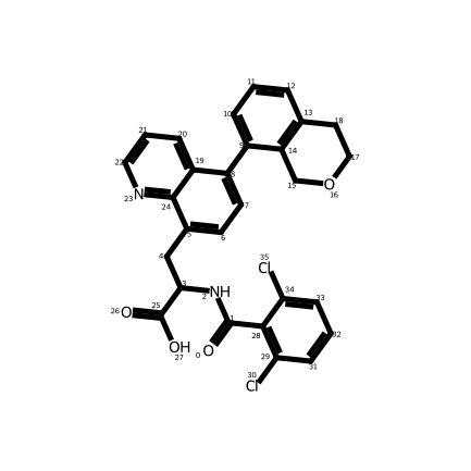 O=C(NC(Cc1ccc(-c2cccc3c2COCC3)c2cccnc12)C(=O)O)c1c(Cl)cccc1Cl